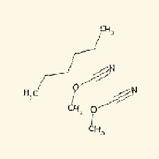 CCCCCC.COC#N.COC#N